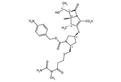 C[C@@H](O)[C@H]1C(=O)N2C(C(=O)O)=C(S[C@H]3C[C@@H](CSCCC(=O)N(C)C(N)=O)N(C(=O)OCc4ccc([N+](=O)[O-])cc4)C3)[C@H](C)[C@H]12